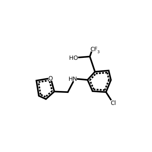 OC(c1ccc(Cl)cc1NCc1ccco1)C(F)(F)F